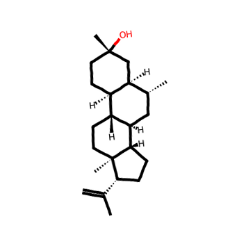 C=C(C)[C@H]1CC[C@H]2[C@@H]3C[C@@H](C)[C@@H]4C[C@@](C)(O)CC[C@@H]4[C@H]3CC[C@]12C